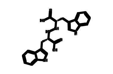 O=C(O)[C@H](Cc1c[nH]c2ccccc12)NN[C@@H](Cc1c[nH]c2ccccc12)C(=O)O